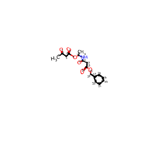 CC(=O)CC(=O)OC(C)NC(=O)CC(=O)OCc1ccccc1